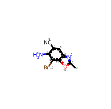 Cc1nc2cc(C#N)c(N)c(Br)c2o1